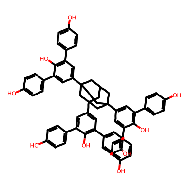 Oc1ccc(-c2cc(C34CC5CC(c6cc(-c7ccc(O)cc7)c(O)c(-c7ccc(O)cc7)c6)(C3)CC(c3cc(-c6ccc(O)cc6)c(O)c(-c6ccc(O)cc6)c3)(C5)C4)cc(-c3ccc(O)cc3)c2O)cc1